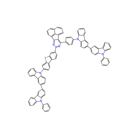 c1ccc(-n2c3ccccc3c3cc(-c4ccc5c(c4)c4ccccc4n5-c4ccc(-c5nc(-c6ccc7c(c6)sc6cc(-n8c9ccccc9c9cc(-c%10ccc%11c(c%10)c%10ccccc%10n%11-c%10ccccc%10)ccc98)ccc67)nc6c5-c5cccc7cccc-6c57)cc4)ccc32)cc1